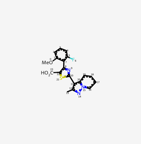 COc1cccc(F)c1-c1nc(-c2c(C)nn3ccccc23)sc1C(=O)O